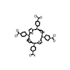 O=C(Cl)c1ccc(-c2c3nc(c(-c4ccc(C(=O)Cl)cc4)c4ccc([nH]4)c(-c4ccc(C(=O)I)cc4)c4nc(c(-c5ccc(C(=O)Cl)cc5)c5ccc2[nH]5)C=C4)C=C3)cc1